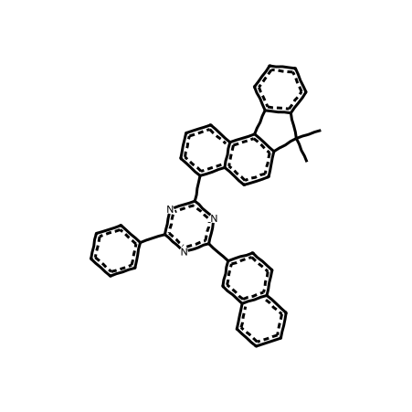 CC1(C)c2ccccc2-c2c1ccc1c(-c3nc(-c4ccccc4)nc(-c4ccc5ccccc5c4)n3)cccc21